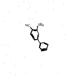 CC(C)(C)c1cc(-c2ccccc2)ccc1C#N